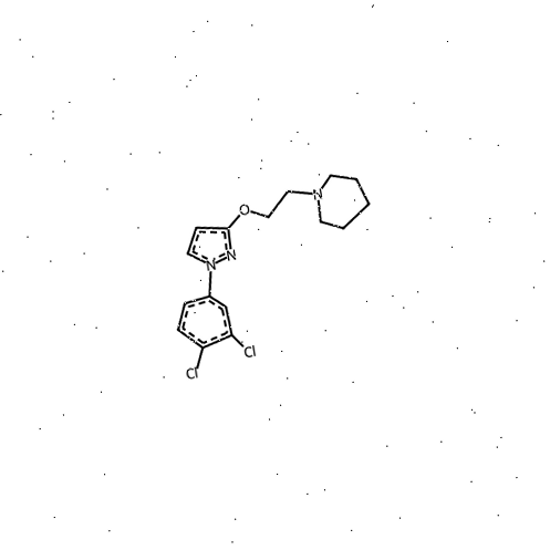 Clc1ccc(-n2ccc(OCCN3CCCCC3)n2)cc1Cl